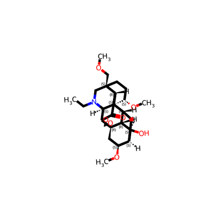 CCN1C[C@]2(COC)CC[C@H](OC)[C@@]34[C@@H]5C[C@H]6[C@H](O)[C@@H]5[C@@]5(C[C@@H]6OC)OCOC5(C(=O)[C@H]23)[C@@H]14